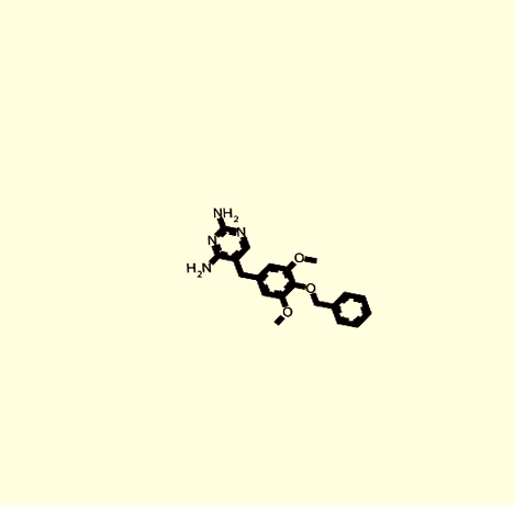 COc1cc(Cc2cnc(N)nc2N)cc(OC)c1OCc1ccccc1